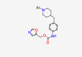 CC(=O)N1CCC(Cc2ccc(NC(=O)OCc3cnco3)cc2)CC1